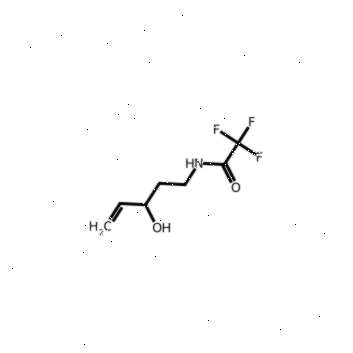 C=CC(O)CCNC(=O)C(F)(F)F